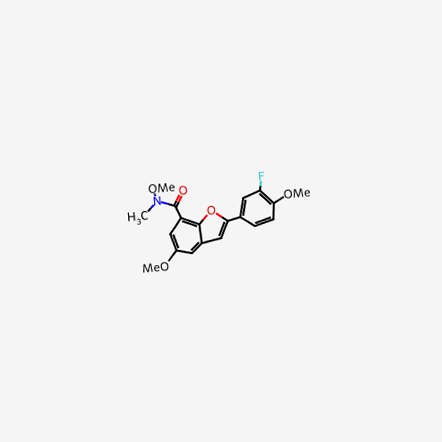 COc1cc(C(=O)N(C)OC)c2oc(-c3ccc(OC)c(F)c3)cc2c1